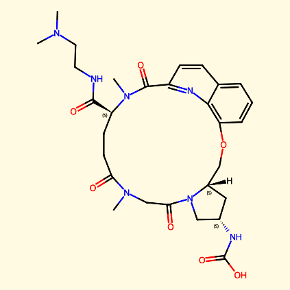 CN(C)CCNC(=O)[C@@H]1CCC(=O)N(C)CC(=O)N2C[C@@H](NC(=O)O)C[C@H]2COc2cccc3ccc(nc23)C(=O)N1C